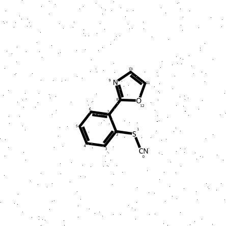 N#CSc1ccccc1-c1ncco1